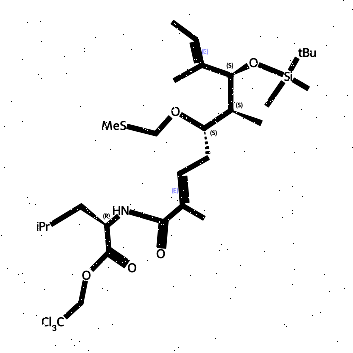 C/C=C(\C)[C@@H](O[Si](C)(C)C(C)(C)C)[C@@H](C)[C@H](C/C=C(\C)C(=O)N[C@H](CC(C)C)C(=O)OCC(Cl)(Cl)Cl)OCSC